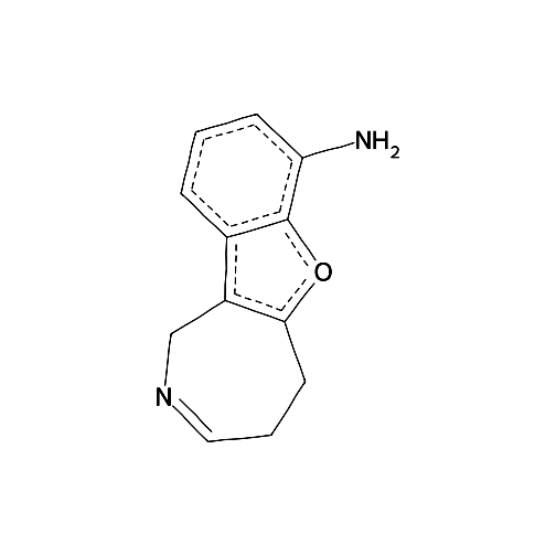 Nc1cccc2c3c(oc12)CCC=NC3